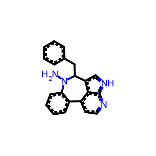 NN1c2ccccc2-c2ccnc3[nH]cc(c23)C1Cc1ccccc1